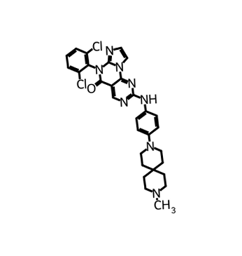 CN1CCC2(CC1)CCN(c1ccc(Nc3ncc4c(=O)n(-c5c(Cl)cccc5Cl)c5nccn5c4n3)cc1)CC2